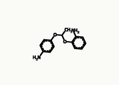 CC(Oc1ccc(N)cc1)Oc1ccccc1N